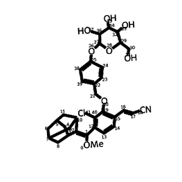 COC(=C1C2CC3CC(C2)CC1C3)c1ccc(/C=C/C#N)c(OCc2ccc(OC3OC(CO)C(O)C(O)C3O)cc2)c1Cl